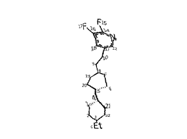 CC[C@H]1CC[C@H]([C@H]2CC[C@H](CCc3cnc(F)c(F)c3)CC2)CC1